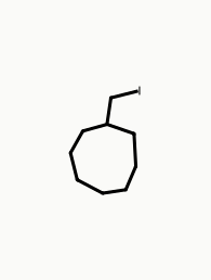 ICC1CCCCCCC1